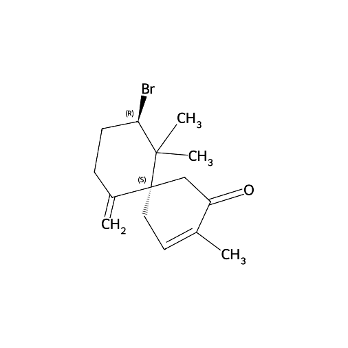 C=C1CC[C@@H](Br)C(C)(C)[C@]12CC=C(C)C(=O)C2